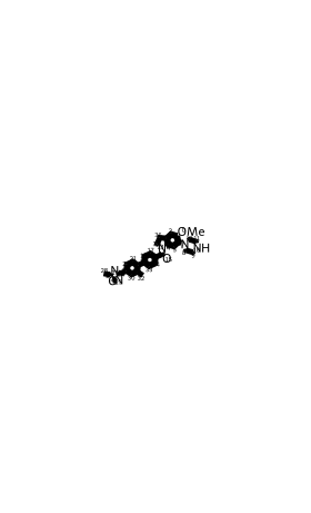 COc1cc2c(cc1N1CCNCC1)N(C(=O)c1ccc(-c3ccc(-c4noc(C)n4)cc3C)cc1)CC2